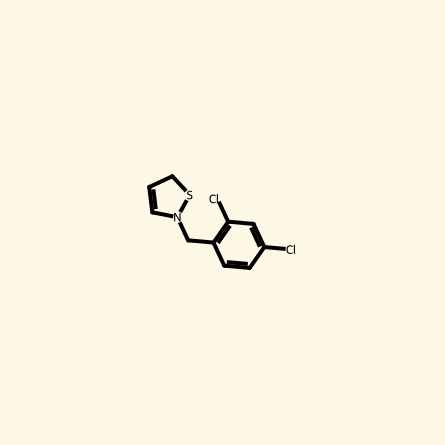 Clc1ccc(CN2C=CCS2)c(Cl)c1